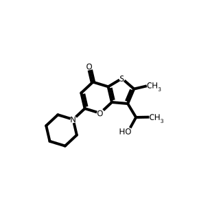 Cc1sc2c(=O)cc(N3CCCCC3)oc2c1C(C)O